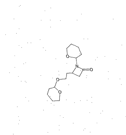 O=C1CC(CCOC2CCCCO2)N1C1CCCCO1